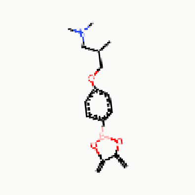 C=C1OB(c2ccc(OCC(C)CN(C)C)cc2)OC1=C